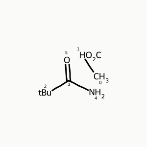 CC(=O)O.CC(C)(C)C(N)=O